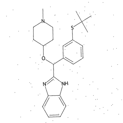 CN1CCC(OC(c2cccc(SC(C)(C)C)c2)c2nc3ccccc3[nH]2)CC1